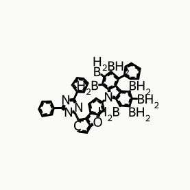 Bc1c(B)c(B)c2c(c1B)c1c(-c3ccccc3)c(B)c(B)c(B)c1n2-c1ccc2c(c1)oc1cccc(-c3nc(-c4ccccc4)nc(-c4ccccc4)n3)c12